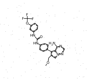 COCc1cn2ncnc(N)c2c1-c1ccc(NC(=O)Nc2cccc(OC(F)(F)F)c2)cc1